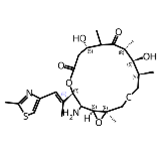 C/C(=C\c1csc(C)n1)[C@H]1OC(=O)C[C@H](O)C(C)C(=O)[C@H](C)[C@@H](O)[C@@H](C)CCC[C@@]2(C)O[C@H]2C1N